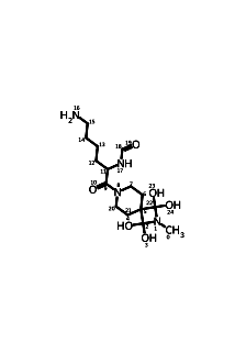 CN1C(O)(O)C2(CCN(C(=O)C(CCCCN)NC=O)CC2)C1(O)O